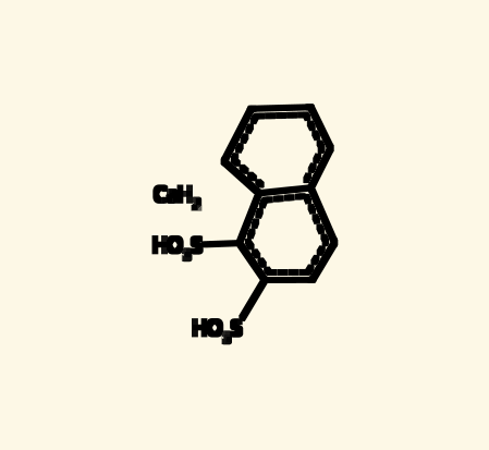 O=S(=O)(O)c1ccc2ccccc2c1S(=O)(=O)O.[CaH2]